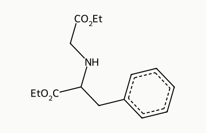 CCOC(=O)CNC(Cc1ccccc1)C(=O)OCC